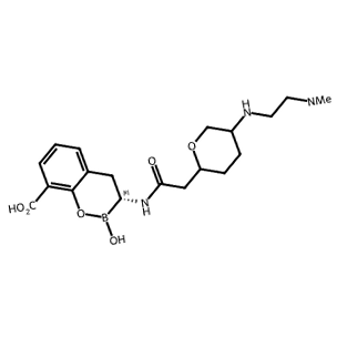 CNCCNC1CCC(CC(=O)N[C@H]2Cc3cccc(C(=O)O)c3OB2O)OC1